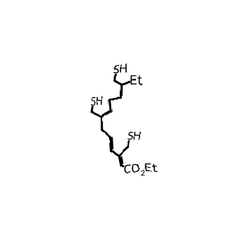 CCOC(=O)C=C(C=CCC(CS)CCCC(CC)CS)CS